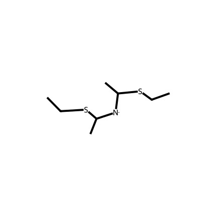 CCSC(C)[N]C(C)SCC